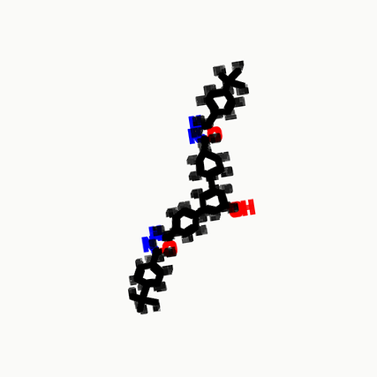 CC(C)(C)c1ccc(-c2nnc(-c3ccc(-c4cc(O)cc(C5=CCC(c6nnc(-c7ccc(C(C)(C)C)cc7)o6)C=C5)c4)cc3)o2)cc1